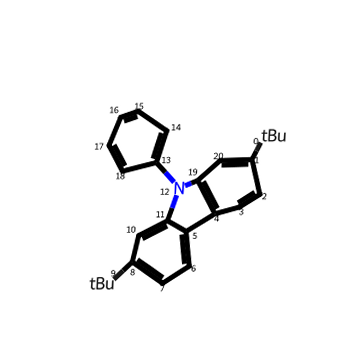 CC(C)(C)c1ccc2c3ccc(C(C)(C)C)cc3n(-c3ccccc3)c2c1